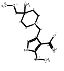 CNc1[nH]cc(CN2CCC(N)(COC)CC2)c1C(=N)Cl